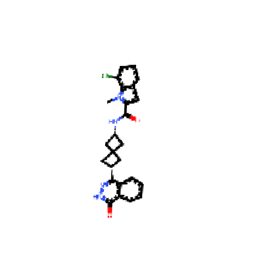 Cn1c(C(=O)N[C@H]2CC3(C2)C[C@H](c2n[nH]c(=O)c4ccccc42)C3)cc2cccc(Cl)c21